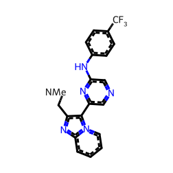 CNCc1nc2ccccn2c1-c1cncc(Nc2ccc(C(F)(F)F)cc2)n1